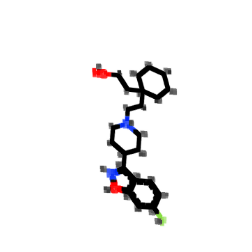 OCCC1(CCN2CCC(c3noc4cc(F)ccc34)CC2)CCCCC1